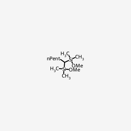 CCCCCC([Si](C)(C)OC)[Si](C)(C)OC